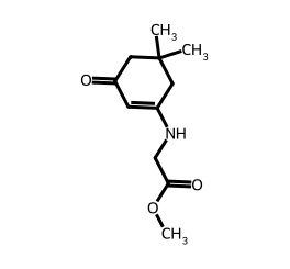 COC(=O)CNC1=CC(=O)CC(C)(C)C1